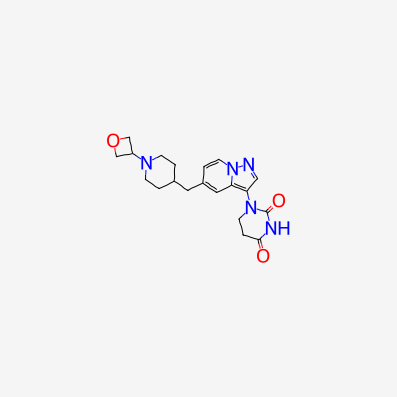 O=C1CCN(c2cnn3ccc(CC4CCN(C5COC5)CC4)cc23)C(=O)N1